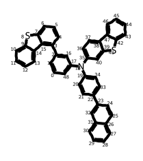 c1cc(-c2cccc3sc4ccccc4c23)cc(N(c2ccc(-c3ccc4ccccc4c3)cc2)c2ccc3c(c2)sc2ccccc23)c1